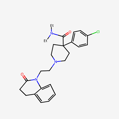 CCN(CC)C(=O)C1(c2ccc(Cl)cc2)CCN(CCN2C(=O)CCc3ccccc32)CC1